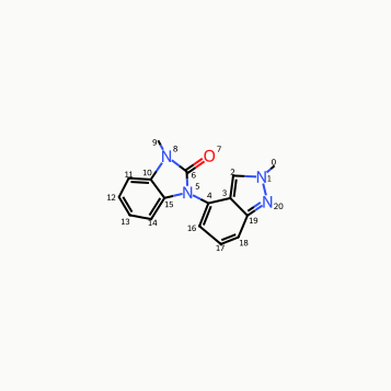 Cn1cc2c(-n3c(=O)n(C)c4ccccc43)cccc2n1